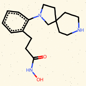 O=C(CCc1ccccc1N1CCC2(CCNCC2)C1)NO